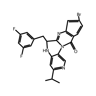 CC(C)c1cc2c(cn1)-n1c(nc3cc(Br)ccc3c1=O)C(Cc1cc(F)cc(F)c1)N2